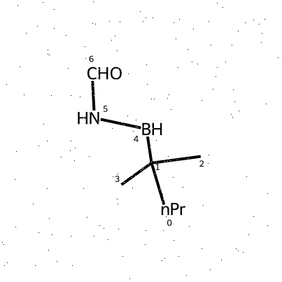 CCCC(C)(C)BNC=O